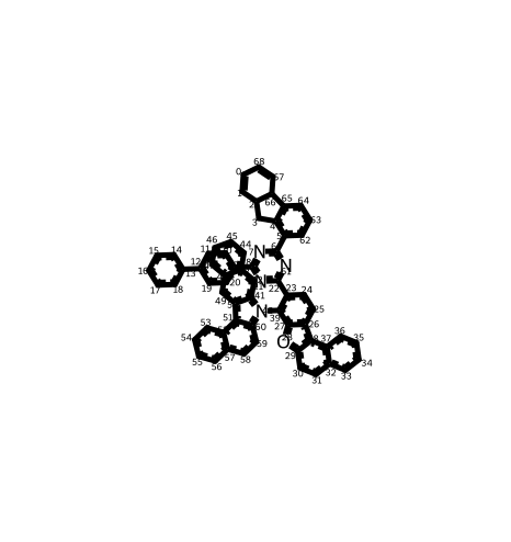 C1=CC2Cc3c(-c4nc(-c5ccc(-c6ccccc6)cc5)nc(-c5ccc6c(oc7ccc8ccccc8c76)c5-n5c6cc7ccccc7cc6c6c7ccccc7ccc65)n4)cccc3C2C=C1